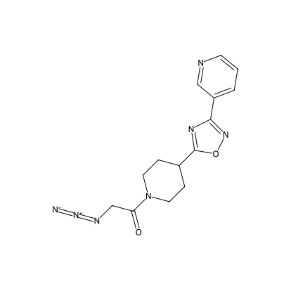 [N-]=[N+]=NCC(=O)N1CCC(c2nc(-c3cccnc3)no2)CC1